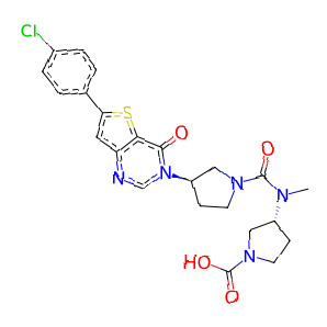 CN(C(=O)N1CC[C@@H](n2cnc3cc(-c4ccc(Cl)cc4)sc3c2=O)C1)[C@@H]1CCN(C(=O)O)C1